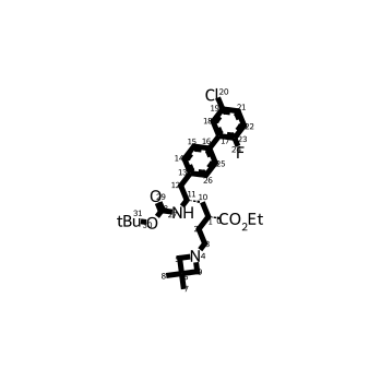 CCOC(=O)[C@H](CCN1CC(C)(C)C1)C[C@@H](Cc1ccc(-c2cc(Cl)ccc2F)cc1)NC(=O)OC(C)(C)C